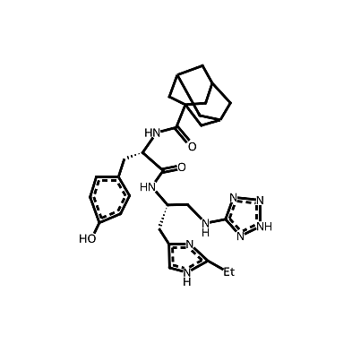 CCc1nc(C[C@@H](CNc2nn[nH]n2)NC(=O)[C@H](Cc2ccc(O)cc2)NC(=O)C23CC4CC(CC(C4)C2)C3)c[nH]1